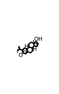 C=C(I)C1C[C@H]2C(=CC1=O)CC[C@@H]1[C@@H]2CC[C@]2(C)[C@H](O)CC[C@@H]12